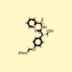 CCCC(C)COc1ccc([C@@H](CO)C(=O)N[C@H](C)c2ccccn2)cc1